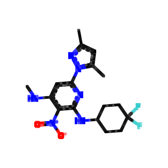 CNc1cc(-n2nc(C)cc2C)nc(NC2CCC(F)(F)CC2)c1[N+](=O)[O-]